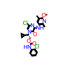 COc1nc(C)c(Nc2nc(Cl)cn([C@H](COC(=O)Nc3ccccc3Cl)C3CC3)c2=O)cc1C